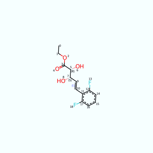 CCOC(=O)[C@H](O)[C@@H](O)/C=C/c1c(F)cccc1F